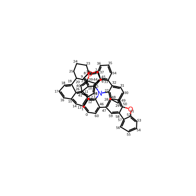 c1ccc(N(c2ccccc2-c2cccc3cccc(C4CCCCC4)c23)c2ccccc2-c2cccc3oc4ccccc4c23)c(-c2ccc3oc4ccccc4c3c2)c1